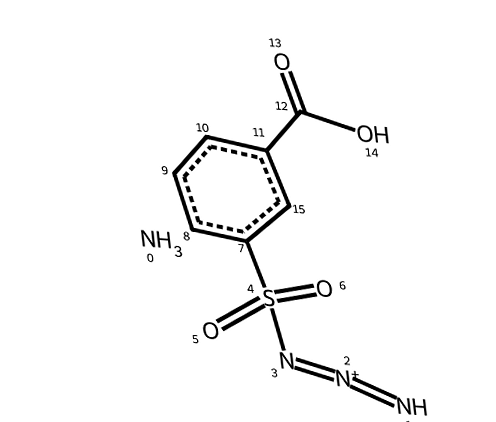 N.N=[N+]=NS(=O)(=O)c1cccc(C(=O)O)c1